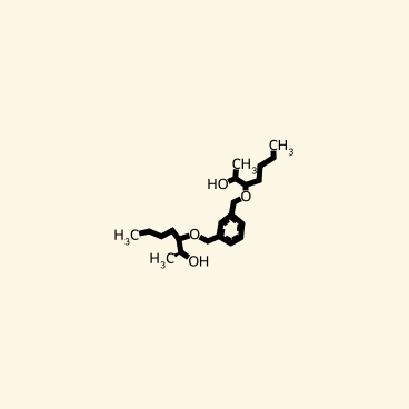 CCCCC(OCc1cccc(COC(CCCC)[C@H](C)O)c1)C(C)O